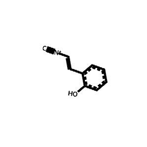 [C-]#[N+]C=Cc1ccccc1O